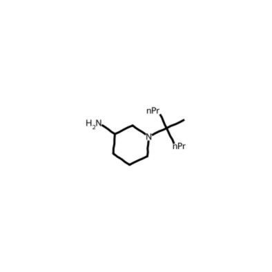 CCCC(C)(CCC)N1CCCC(N)C1